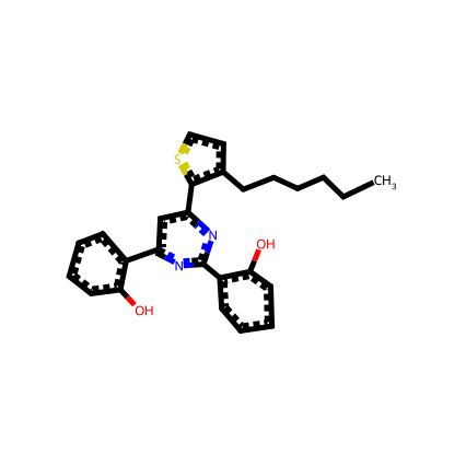 CCCCCCc1ccsc1-c1cc(-c2ccccc2O)nc(-c2ccccc2O)n1